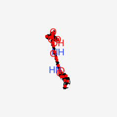 COc1ccc(C(OCCC(O)CCCCCNC(=O)CCCCCCCCCCCNC(=O)O[C@@H]2CC[C@]3(C)C(=CCC4C3CC[C@]3(C)C4CC[C@H]3[C@@H](C)CCCC(C)C)C2)(c2ccccc2)c2ccc(OC)cc2)cc1